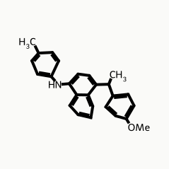 COc1ccc(C(C)c2ccc(Nc3ccc(C)cc3)c3ccccc23)cc1